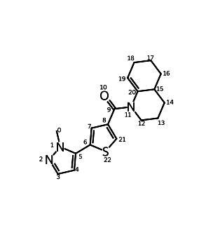 Cn1nccc1-c1cc(C(=O)N2CCCC3CCCC=C32)cs1